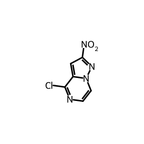 O=[N+]([O-])c1cc2c(Cl)nccn2n1